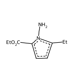 CCOC(=O)c1ccc(CC)n1N